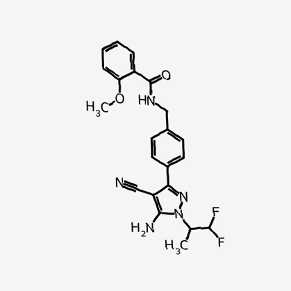 COc1ccccc1C(=O)NCc1ccc(-c2nn(C(C)C(F)F)c(N)c2C#N)cc1